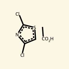 CC(=O)O.Clc1csc(Cl)n1